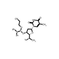 [2H][C@H](C)[C@H]1O[C@@H](n2cc(C)c(=O)[nH]c2=O)C[C@@H]1OP(OCC[N+]#[C-])N(C(C)C)C(C)C